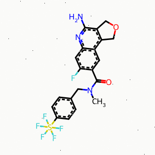 CN(Cc1ccc(S(F)(F)(F)(F)F)cc1)C(=O)c1cc2c3c(c(N)nc2cc1F)COC3